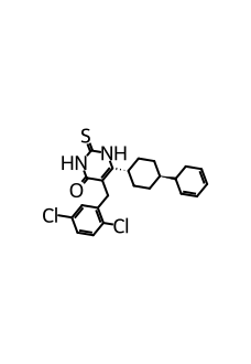 O=c1[nH]c(=S)[nH]c([C@H]2CC[C@H](C3C=CC=CC3)CC2)c1Cc1cc(Cl)ccc1Cl